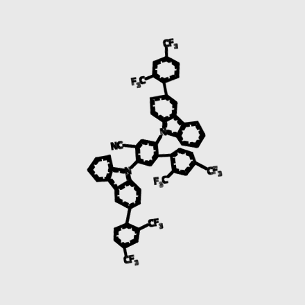 N#Cc1cc(-n2c3ccccc3c3cc(-c4ccc(C(F)(F)F)cc4C(F)(F)F)ccc32)c(-c2ccc(C(F)(F)F)cc2C(F)(F)F)cc1-n1c2ccccc2c2cc(-c3ccc(C(F)(F)F)cc3C(F)(F)F)ccc21